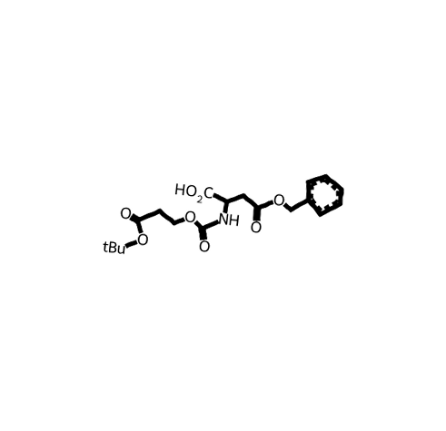 CC(C)(C)OC(=O)CCOC(=O)NC(CC(=O)OCc1ccccc1)C(=O)O